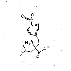 CC(C)CC(N)(Cc1ccc([N+](=O)[O-])cc1)C(=O)O